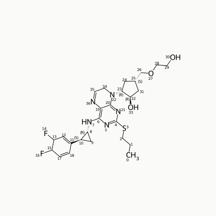 CCCSc1nc(N[C@@H]2C[C@H]2C2=CC(F)C(F)C=C2)c2c(n1)N([C@@H]1C[C@H](COCCO)C[C@H]1O)CC=N2